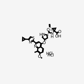 C=C[C@@H]1C[C@]1(NC(=O)[C@@H]1C[C@@H](Oc2cc(-c3nc(C4CC4)cs3)nc3c(C)c(OC)ccc23)CN1)C(=O)O.Cl.Cl